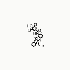 Cc1ccc2ncn(Cc3ccccc3OC(F)(F)F)c(=O)c2c1NC(=O)c1cc(Cl)c(O)c(Cl)c1